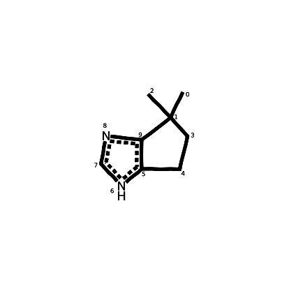 CC1(C)CCc2[nH]cnc21